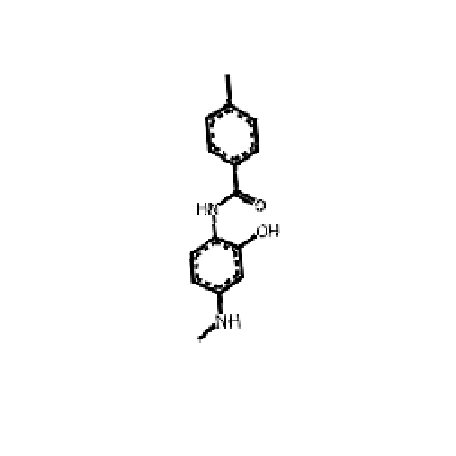 CNc1ccc(NC(=O)c2ccc(C)cc2)c(O)c1